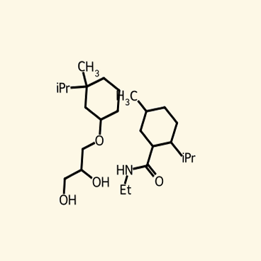 CC(C)C1(C)CCCC(OCC(O)CO)C1.CCNC(=O)C1CC(C)CCC1C(C)C